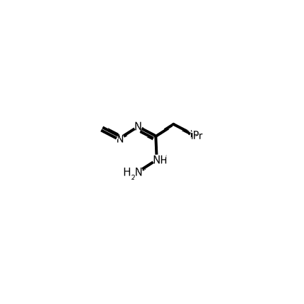 C=N/N=C(/CC(C)C)NN